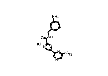 CCOc1cncc(-c2cnc(C(=O)NCc3cccc(N)c3)s2)n1.Cl